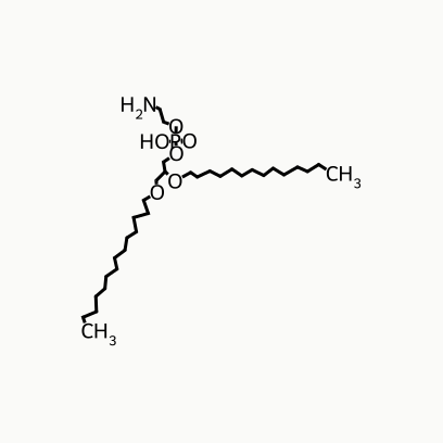 CCCCCCCCCCCCCCOCC(COP(=O)(O)OCCN)OCCCCCCCCCCCCCC